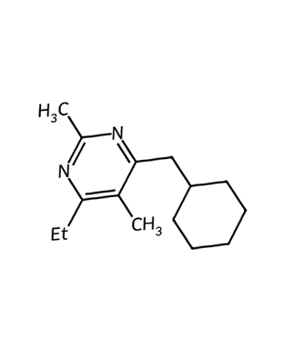 CCc1nc(C)nc(CC2CCCCC2)c1C